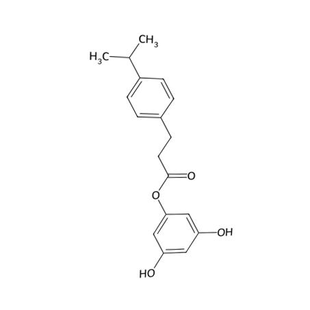 CC(C)c1ccc(CCC(=O)Oc2cc(O)cc(O)c2)cc1